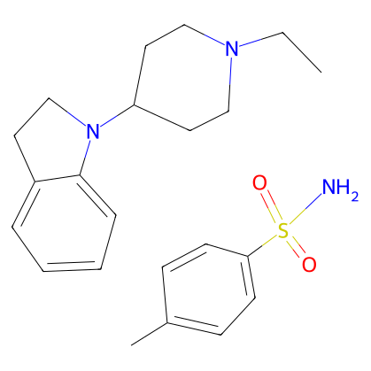 CCN1CCC(N2CCc3ccccc32)CC1.Cc1ccc(S(N)(=O)=O)cc1